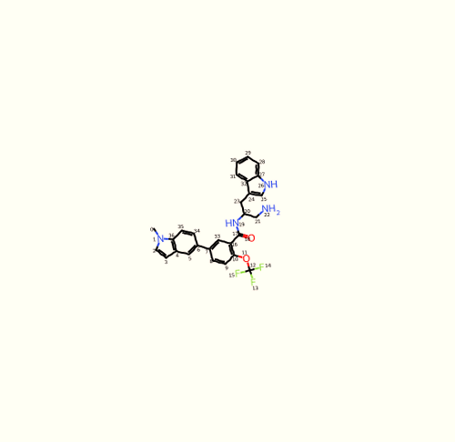 Cn1ccc2cc(-c3ccc(OC(F)(F)F)c(C(=O)NC(CN)Cc4c[nH]c5ccccc45)c3)ccc21